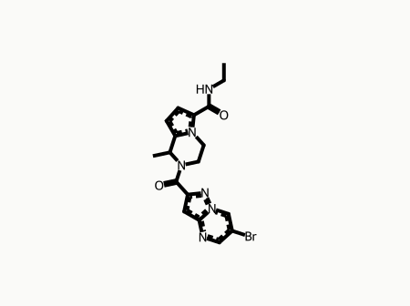 CCNC(=O)c1ccc2n1CCN(C(=O)c1cc3ncc(Br)cn3n1)C2C